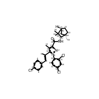 CC(=Cc1ccc(Cl)cc1)c1c(C)c(C(=O)N[C@@H]2C(C)(C)[C@@H]3CC[C@]2(C)C3)nn1-c1ccc(Cl)cc1Cl